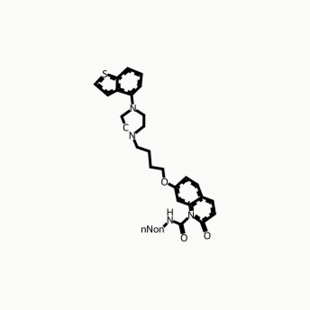 CCCCCCCCCNC(=O)n1c(=O)ccc2ccc(OCCCCN3CCN(c4cccc5sccc45)CC3)cc21